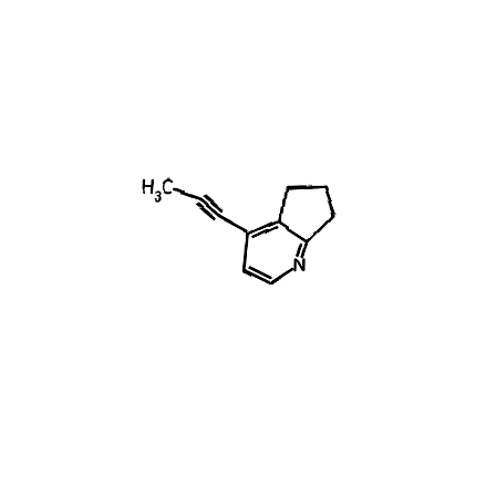 CC#Cc1ccnc2c1CCC2